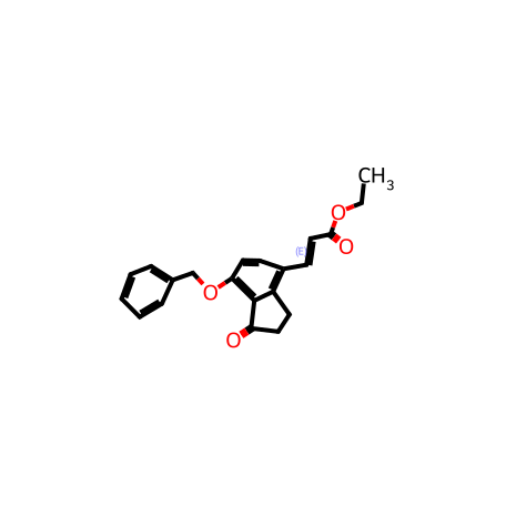 CCOC(=O)/C=C/c1ccc(OCc2ccccc2)c2c1CCC2=O